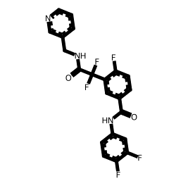 O=C(Nc1ccc(F)c(F)c1)c1ccc(F)c(C(F)(F)C(=O)NCc2cccnc2)c1